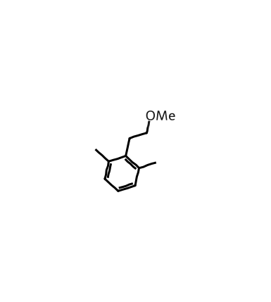 COCCc1c(C)cccc1C